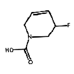 O=C(O)N1CC=CC(F)C1